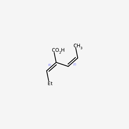 C/C=C\C(=C/CC)C(=O)O